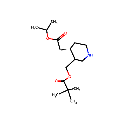 CC(C)OC(=O)C[C@@H]1CCNCC1COC(=O)C(C)(C)C